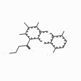 Cc1c(O)c(C(=N)CCN)c2nc3c(O)ccc(C(=O)O)c3nc2c1O